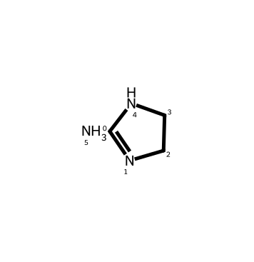 C1=NCCN1.N